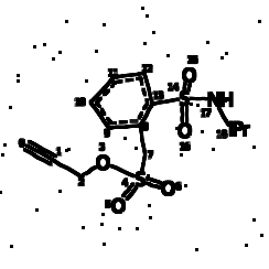 C#CCOS(=O)(=O)Cc1ccccc1S(=O)(=O)NC(C)C